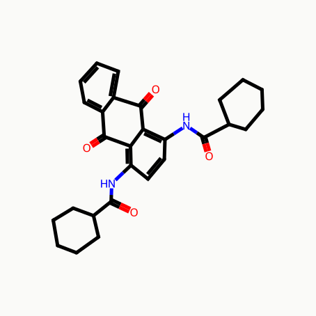 O=C1c2ccccc2C(=O)c2c(NC(=O)C3CCCCC3)ccc(NC(=O)C3CCCCC3)c21